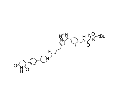 Cc1cc(-c2ncnn3cc(CCC[C@H](F)CN4CCC(c5ccc(C6CCC(=O)NC6=O)cc5)CC4)cc23)ccc1CNC(=O)c1noc(C(C)(C)C)n1